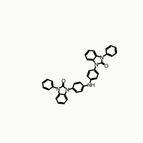 O=c1n(-c2ccccc2)c2ccccc2n1-c1ccc(Nc2ccc(-n3c(=O)n(-c4ccccc4)c4ccccc43)cc2)cc1